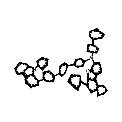 c1ccc(-c2ccc(N(c3ccc(-c4ccc(-c5ccc(-c6cccc7c8ccccc8n(-c8ccccc8)c67)cc5)cc4)cc3)c3cccc4c3oc3c(-c5ccccc5)cc5ccccc5c34)cc2)cc1